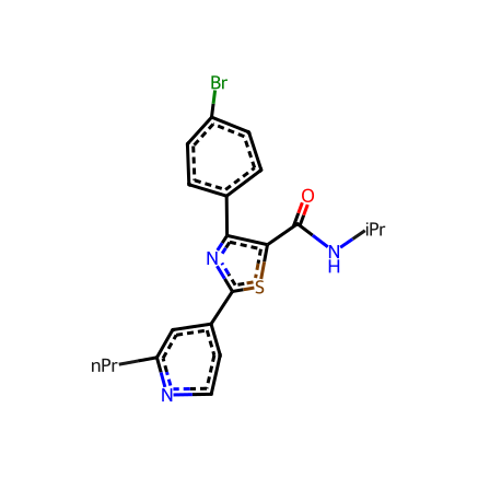 CCCc1cc(-c2nc(-c3ccc(Br)cc3)c(C(=O)NC(C)C)s2)ccn1